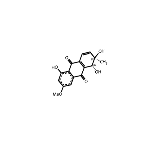 COc1cc(O)c2c(c1)C(=O)C1=C(C=C[C@@](C)(O)[C@@H]1O)C2=O